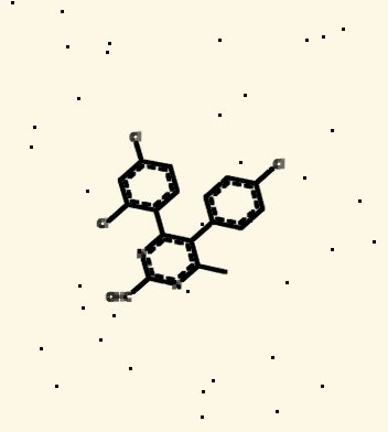 Cc1nc(C=O)nc(-c2ccc(Cl)cc2Cl)c1-c1ccc(Cl)cc1